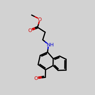 COC(=O)CCNc1ccc(C=O)c2ccccc12